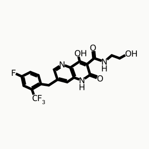 O=C(NCCO)c1c(O)c2ncc(Cc3ccc(F)cc3C(F)(F)F)cc2[nH]c1=O